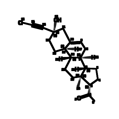 CC(=O)[C@H]1CC[C@H]2[C@@H]3CC=C4C[C@](O)(C#CCl)CC[C@@H]4[C@H]3CC[C@]12C